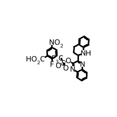 O=C(O)c1cc([N+](=O)[O-])ccc1F.O=S(=O)(Oc1nc2ccccc2nc1C1CCc2ccccc2N1)C(F)(F)F